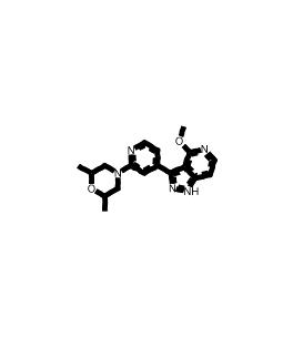 COc1nccc2[nH]nc(-c3ccnc(N4CC(C)OC(C)C4)c3)c12